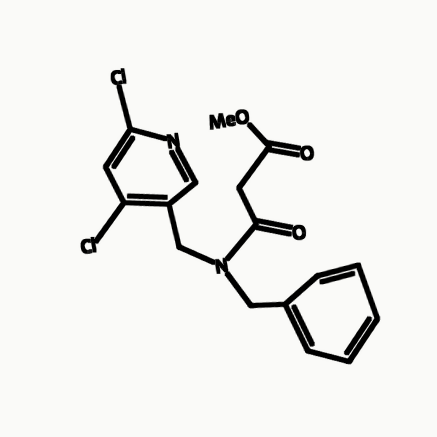 COC(=O)CC(=O)N(Cc1ccccc1)Cc1cnc(Cl)cc1Cl